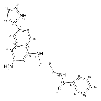 Nc1cc(NCCCNC(=O)c2ccncc2)c2ccc(-c3ccn[nH]3)cc2n1